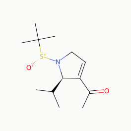 CC(=O)C1=CCN([S@+]([O-])C(C)(C)C)[C@@H]1C(C)C